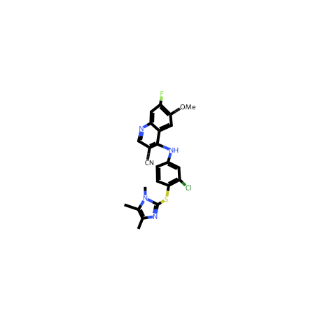 COc1cc2c(Nc3ccc(Sc4nc(C)c(C)n4C)c(Cl)c3)c(C#N)cnc2cc1F